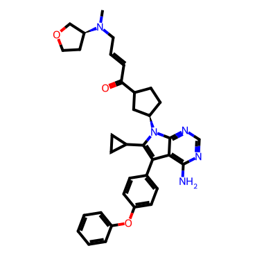 CN(C/C=C/C(=O)C1CC[C@@H](n2c(C3CC3)c(-c3ccc(Oc4ccccc4)cc3)c3c(N)ncnc32)C1)[C@H]1CCOC1